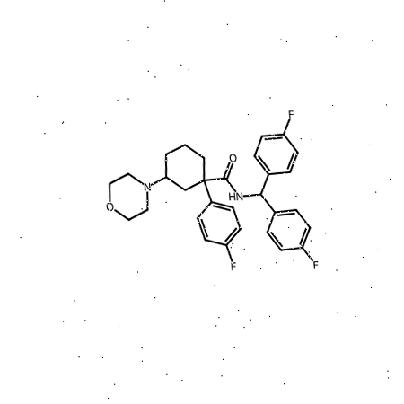 O=C(NC(c1ccc(F)cc1)c1ccc(F)cc1)C1(c2ccc(F)cc2)CCCC(N2CCOCC2)C1